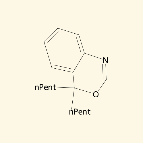 CCCCCC1(CCCCC)OC=Nc2ccccc21